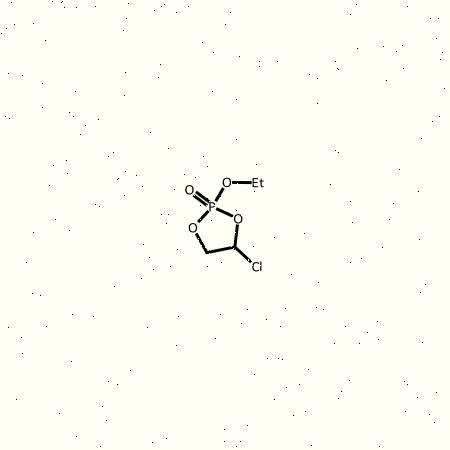 CCOP1(=O)OCC(Cl)O1